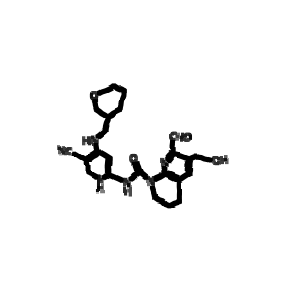 N#CC1=C(NCC2CCCOC2)C=C(NC(=O)N2CCCc3cc(CO)c(C=O)nc32)NC1